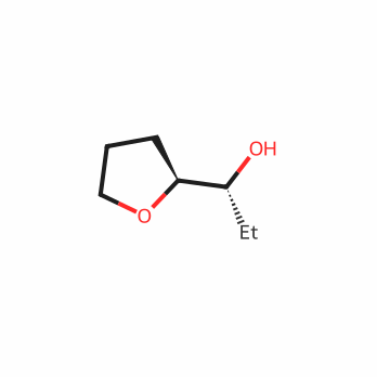 CC[C@@H](O)[C@@H]1CCCO1